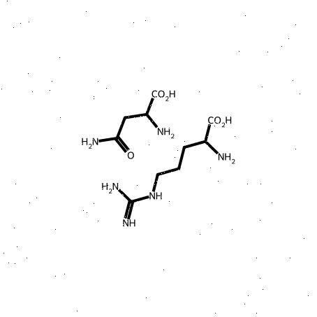 N=C(N)NCCCC(N)C(=O)O.NC(=O)CC(N)C(=O)O